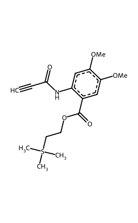 C#CC(=O)Nc1cc(OC)c(OC)cc1C(=O)OCCS(C)(C)C